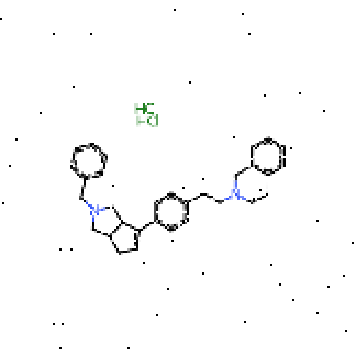 C1=C(c2ccc(CCN3CCc4ccccc4C3)cc2)C2CN(Cc3ccccc3)CC2C1.Cl.Cl